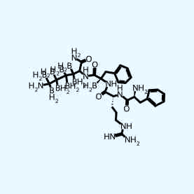 BC(B)(N)C(B)(B)C(B)(B)C(B)(B)C(NC(=O)[C@](B)(Cc1ccccc1)NC(=O)[C@@H](CCCNC(=N)N)NC(=O)[C@@H](N)Cc1ccccc1)C(N)=O